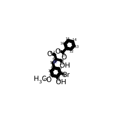 COc1cc(/C=C2/C(=O)OC(c3ccccc3)OC2O)cc(Br)c1O